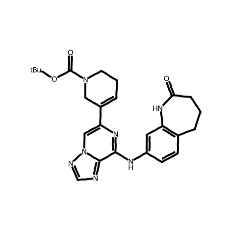 CC(C)(C)OC(=O)N1CCC=C(c2cn3ncnc3c(Nc3ccc4c(c3)NC(=O)CCC4)n2)C1